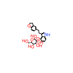 OC[C@H]1O[C@@H](O)[C@@](O)(Oc2cccc3[nH]cc(CCc4ccc5c(c4)CCO5)c23)[C@@H](O)[C@@H]1O